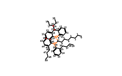 CCCCCCCC(P(c1ccccc1CCCC)c1ccccc1CCCC)P(c1ccccc1CCCC)c1ccccc1CCCC